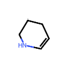 [CH]1CC=CNC1